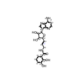 Nc1ncnc2c1ncn2C1OC(/C=C/CNC(=O)c2cccc(O)c2O)C(O)C1O